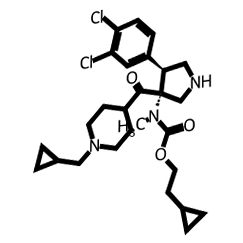 CN(C(=O)OCCC1CC1)[C@@]1(C(=O)C2CCN(CC3CC3)CC2)CNC[C@@H]1c1ccc(Cl)c(Cl)c1